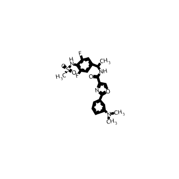 CC(NC(=O)c1coc(-c2cccc(N(C)C)c2)n1)c1cc(F)c(NS(C)(=O)=O)c(F)c1